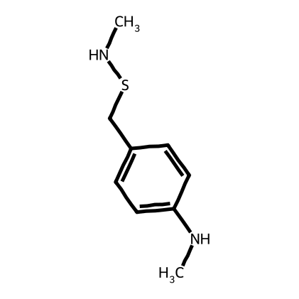 CNSCc1ccc(NC)cc1